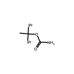 CC(C)C(C)(OC(N)=O)C(C)C